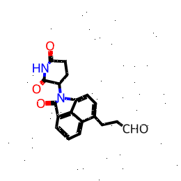 O=CCCc1ccc2c3c(cccc13)C(=O)N2C1CCC(=O)NC1=O